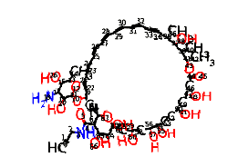 C#CCNC(=O)[C@H]1[C@@H]2C[C@@H](O[C@@H]3O[C@H](C)[C@@H](O)[C@H](N)[C@@H]3O)/C=C/C=C/C=C/C=C/C=C/C=C/C=C/[C@H](C)[C@@H](O)[C@@H](C)[C@H](C)OC(=O)C[C@H](O)C[C@H](O)CC[C@@H](O)[C@H](O)C[C@H](O)C[C@](O)(C[C@@H]1O)O2